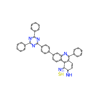 N=C1C=Cc2c(-c3ccccc3)nc3cc(-c4ccc(-c5nc(-c6ccccc6)nc(-c6ccccc6)n5)cc4)ccc3c2/C1=N/S